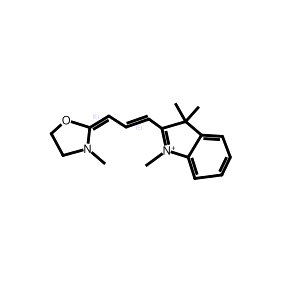 CN1CCO/C1=C/C=C/C1=[N+](C)c2ccccc2C1(C)C